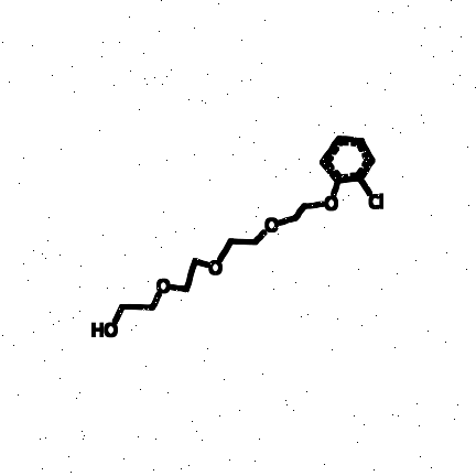 OCCOCCOCCOCCOc1ccccc1Cl